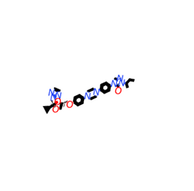 CCC(C)n1ncn(-c2ccc(N3CCN(c4ccc(OC[C@@H]5CO[C@@](Cn6nccn6)(C6CC6)O5)cc4)CC3)cc2)c1=O